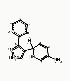 NC1=CNC(N)(c2c[nH]nc2-c2ccccn2)C=C1